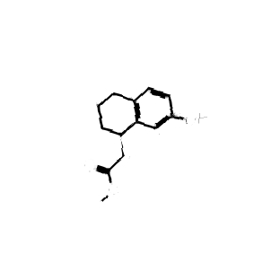 COC(=O)C[C@H]1CCCc2ccc(O)cc21